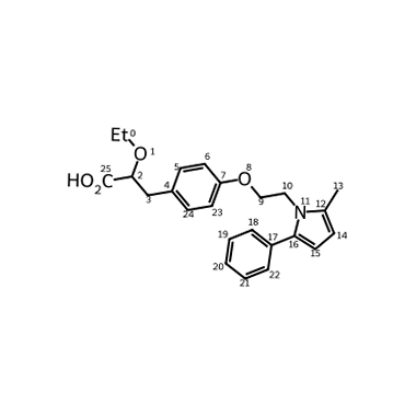 CCOC(Cc1ccc(OCCn2c(C)ccc2-c2ccccc2)cc1)C(=O)O